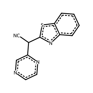 N#CC(c1cnccn1)c1nc2ccccc2s1